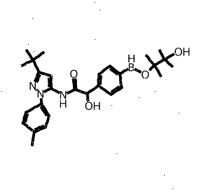 Cc1ccc(-n2nc(C(C)(C)C)cc2NC(=O)C(O)c2ccc(BOC(C)(C)C(C)(C)O)cc2)cc1